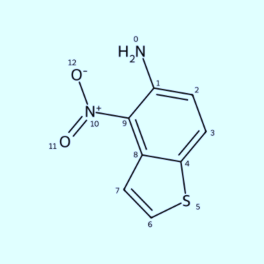 Nc1ccc2sccc2c1[N+](=O)[O-]